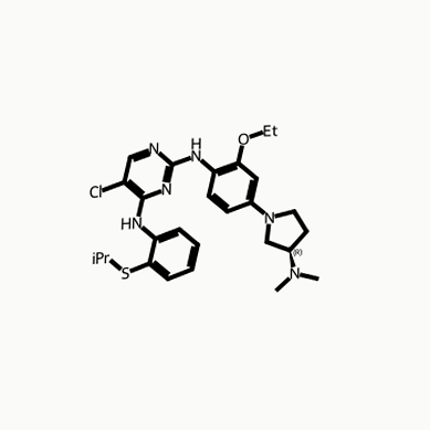 CCOc1cc(N2CC[C@@H](N(C)C)C2)ccc1Nc1ncc(Cl)c(Nc2ccccc2SC(C)C)n1